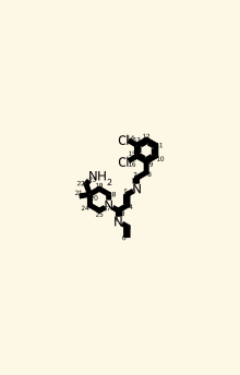 C=C\N=C(/C=C/N=C/Cc1cccc(Cl)c1Cl)N1CCC(C)(CN)CC1